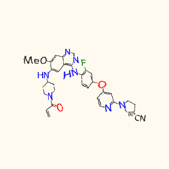 C=CC(=O)N1CCC(Nc2cc3c(Nc4ccc(Oc5ccnc(N6CC[C@@H](C#N)C6)c5)cc4F)ncnc3cc2OC)CC1